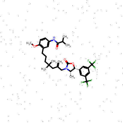 C=C(CN1C(=O)O[C@H](c2cc(C(F)(F)F)cc(C(F)(F)F)c2)[C@@H]1C)CC(C)(C)CCCc1cc(NC(=O)C(C)C)ccc1OC